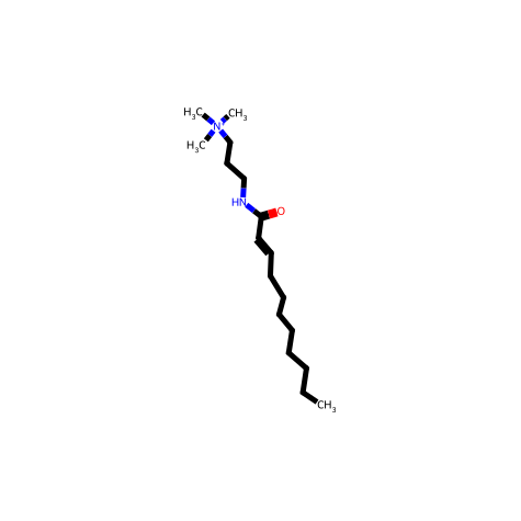 CCCCCCCCC=CC(=O)NCCC[N+](C)(C)C